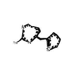 [2H]c1nccc(-c2cccs2)n1